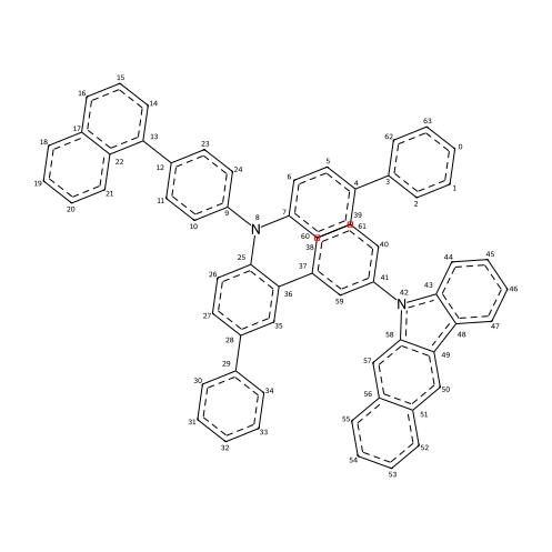 c1ccc(-c2ccc(N(c3ccc(-c4cccc5ccccc45)cc3)c3ccc(-c4ccccc4)cc3-c3cccc(-n4c5ccccc5c5cc6ccccc6cc54)c3)cc2)cc1